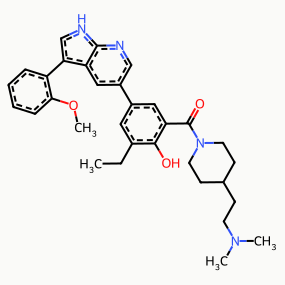 CCc1cc(-c2cnc3[nH]cc(-c4ccccc4OC)c3c2)cc(C(=O)N2CCC(CCN(C)C)CC2)c1O